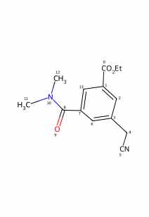 CCOC(=O)c1cc(CC#N)cc(C(=O)N(C)C)c1